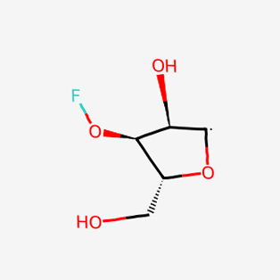 OC[C@H]1O[CH][C@H](O)[C@@H]1OF